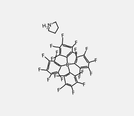 C1CC[NH2+]C1.Fc1c(F)c(F)c([B-](c2c(F)c(F)c(F)c(F)c2F)(c2c(F)c(F)c(F)c(F)c2F)c2c(F)c(F)c(F)c(F)c2F)c(F)c1F